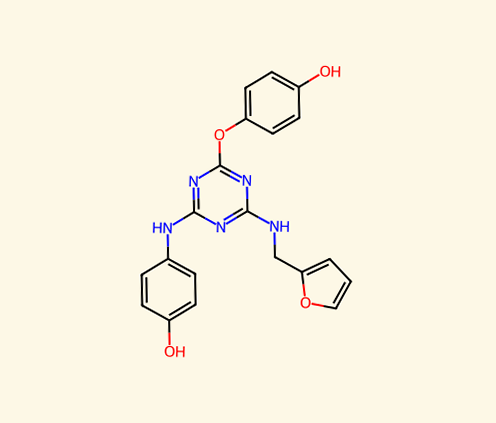 Oc1ccc(Nc2nc(NCc3ccco3)nc(Oc3ccc(O)cc3)n2)cc1